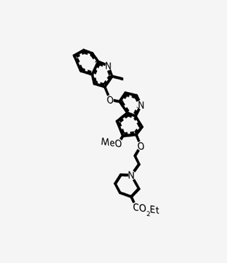 CCOC(=O)C1CCCN(CCOc2cc3nccc(Oc4cc5ccccc5nc4C)c3cc2OC)C1